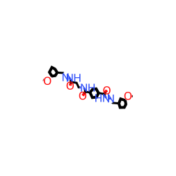 COc1cccc(/C=N/NC(=O)CCNC(=O)c2ccc(C(=O)N/N=C/c3cccc(OC)c3)cc2)c1